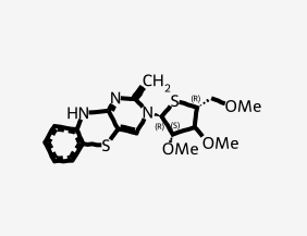 C=C1N=C2Nc3ccccc3SC2=CN1[C@@H]1S[C@H](COC)C(OC)[C@@H]1OC